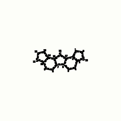 c1cc2c(ccc3c4ccc5sccc5c4sc23)s1